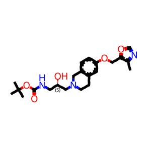 Cc1ncoc1COc1ccc2c(c1)CCN(C[C@@H](O)CNC(=O)OC(C)(C)C)C2